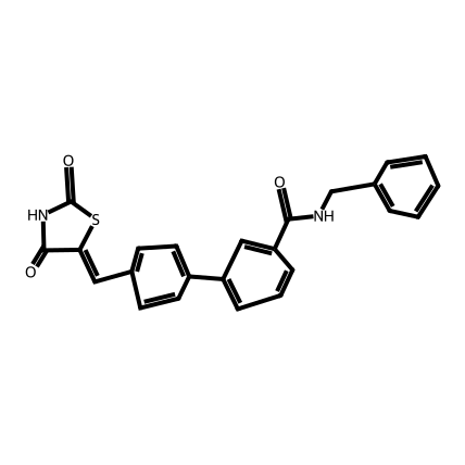 O=C1NC(=O)C(=Cc2ccc(-c3cccc(C(=O)NCc4ccccc4)c3)cc2)S1